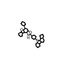 c1ccc(-c2cc3c(c4c2oc2ccccc24)NC(c2ccc(-n4c5ccccc5c5ccc6ccccc6c54)cc2)O3)cc1